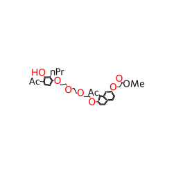 CCCc1c(OCCOCCOCCOc2ccc3ccc(OCC(=O)OC)cc3c2C(C)=O)ccc(C(C)=O)c1O